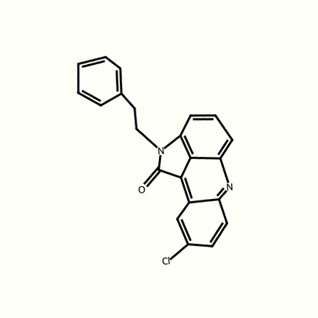 O=C1c2c3cc(Cl)ccc3nc3cccc(c23)N1CCc1ccccc1